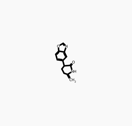 C=C1CCC(c2ccc3ocnc3c2)C(=O)N1